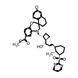 COC(=O)c1ccc2c(c1)N(C[C@@H]1CC[C@H]1[C@@H](O)/C=C/[C@H]1CCC[C@H](S(=O)(=O)c3ncccn3)[C@@H]1C)CC1(CCCc3cc(Cl)ccc31)CO2